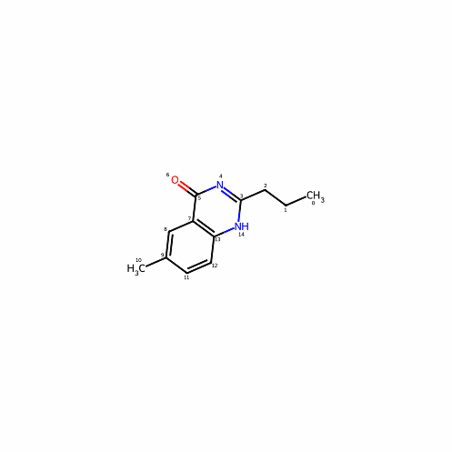 CCCc1nc(=O)c2cc(C)ccc2[nH]1